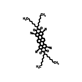 CCCCCCCC(CCCCCCC)N1C(=O)c2c(C#N)cc3c4ccc5c6cc(C#N)c7c8c(c(C#N)cc(c9ccc(c%10cc(C#N)c(c2c3%10)C1=O)c4c59)c86)C(=O)N(C(CCCCCCC)CCCCCCC)C7=O